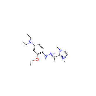 CCOc1cc(N(CC)CC)ccc1N(C)/N=C(\C)c1n(C)cc[n+]1C